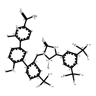 COc1ccc(-c2ccc(C(=O)O)nc2C)cc1-c1ccc(C(F)(F)F)cc1CN1C(=O)OC(c2cc(C(F)(F)F)cc(C(F)(F)F)c2)[C@@H]1C